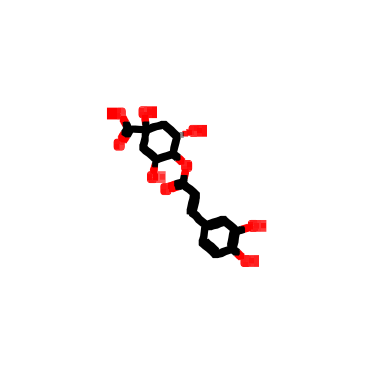 O=C(/C=C/c1ccc(O)c(O)c1)OC1[C@@H](O)CC(O)(C(=O)O)C[C@@H]1O